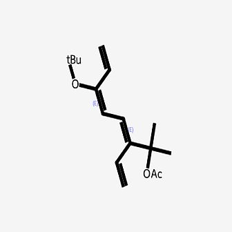 C=C/C(=C\C=C(/C=C)C(C)(C)OC(C)=O)OC(C)(C)C